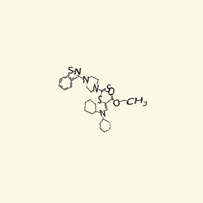 CCOC(=O)/C(=C/N(C1CCCCC1)C1CCCCC1)SC(=S)N1CCN(c2nsc3ccccc23)CC1